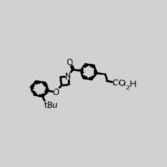 CC(C)(C)c1ccccc1OC1CN(C(=O)c2ccc(CCC(=O)O)cc2)C1